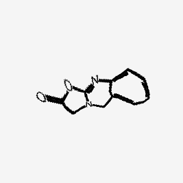 O=C1CN2Cc3ccccc3N=C2O1